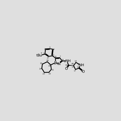 CC(C)(C)c1cccc(-c2cc(NC(=O)[C@H]3CNC(=O)C3)nn2C2CCCCCC2)c1